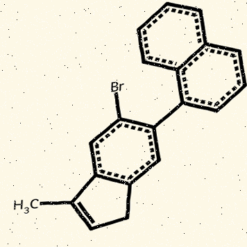 CC1=CCc2cc(-c3cccc4ccccc34)c(Br)cc21